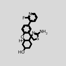 NC1=NC2(CS1)c1cc(-c3cccnc3F)ccc1O[C@@H]1CC(O)CCC12